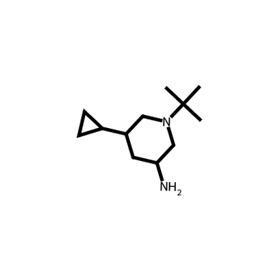 CC(C)(C)N1CC(N)CC(C2CC2)C1